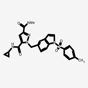 CNC(=O)c1cc(C(=O)NC2CC2)n(Cc2ccc3c(ccn3S(=O)(=O)c3ccc(C)cc3)c2)n1